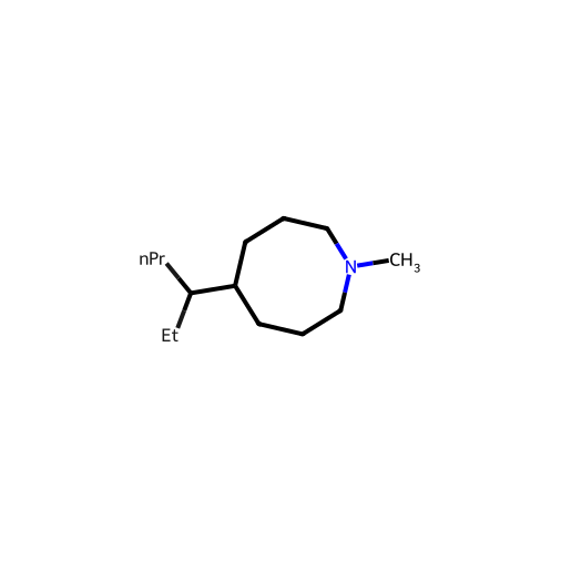 CCCC(CC)C1CCCN(C)CCC1